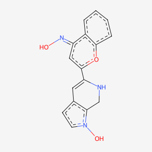 ON=c1cc(C2=Cc3ccn(O)c3CN2)oc2ccccc12